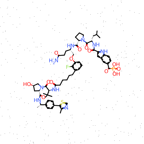 Cc1ncsc1-c1ccc([C@H](C)NC(=O)[C@@H]2C[C@@H](O)CN2C(=O)[C@@H](NC(=O)CCCCCc2cccc(OC[C@H](CCC(N)=O)NC(=O)[C@@H]3CCCN3C(=O)[C@H](CC(C)C)NC(=O)c3cc4cc(C(=O)P(=O)(O)O)ccc4[nH]3)c2F)C(C)(C)C)cc1